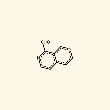 O=[C]c1nccc2ccncc12